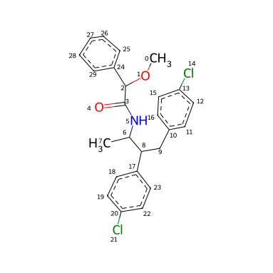 COC(C(=O)NC(C)C(Cc1ccc(Cl)cc1)c1ccc(Cl)cc1)c1ccccc1